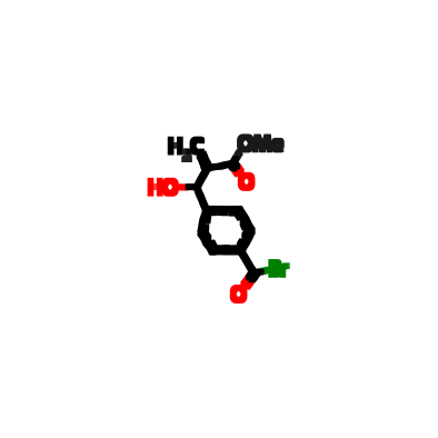 C=C(C(=O)OC)C(O)c1ccc(C(=O)Br)cc1